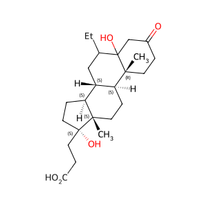 CCC1C[C@H]2[C@@H]3CC[C@](O)(CCC(=O)O)[C@@]3(C)CC[C@@H]2[C@@]2(C)CCC(=O)CC12O